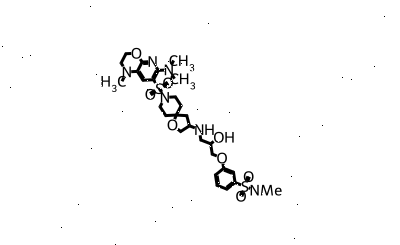 CNS(=O)(=O)c1cccc(OCC(O)CNC2COC3(CCN(S(=O)(=O)c4cc5c(nc4N(C)C)OCCN5C)CC3)C2)c1